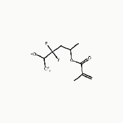 C=C(C)C(=O)OC(C)CC(F)(F)C(O)C(F)(F)F